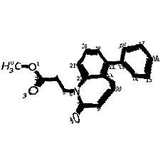 COC(=O)CCn1c(=O)ccc2c(-c3ccccc3)cccc21